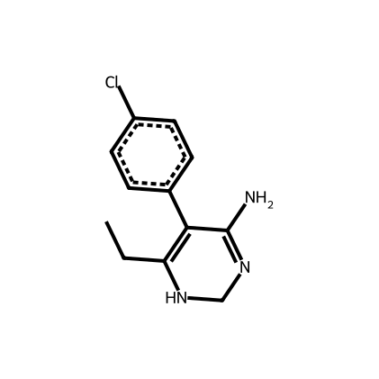 CCC1=C(c2ccc(Cl)cc2)C(N)=NCN1